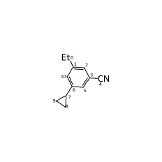 [CH2]Cc1cc(C#N)cc(C2CC2)c1